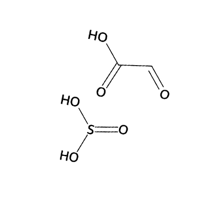 O=CC(=O)O.O=S(O)O